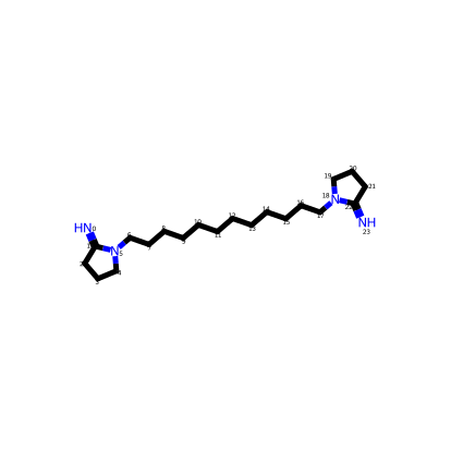 N=C1CCCN1CCCCCCCCCCCCN1CCCC1=N